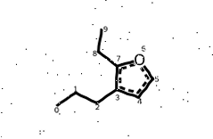 CCCc1ccoc1CC